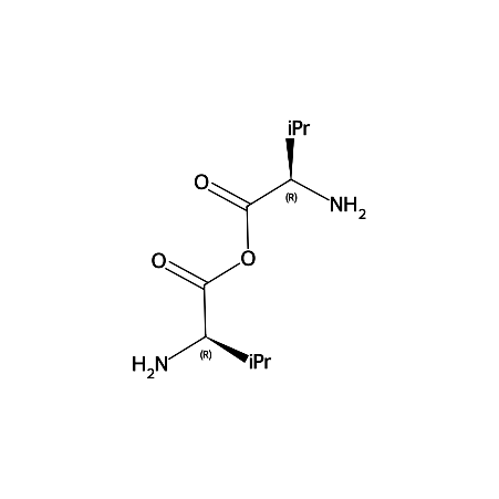 CC(C)[C@@H](N)C(=O)OC(=O)[C@H](N)C(C)C